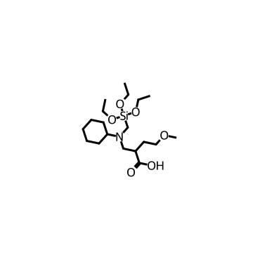 CCO[Si](CN(CC(CCOC)C(=O)O)C1CCCCC1)(OCC)OCC